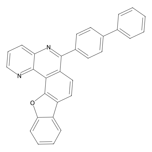 c1ccc(-c2ccc(-c3nc4cccnc4c4c3ccc3c5ccccc5oc34)cc2)cc1